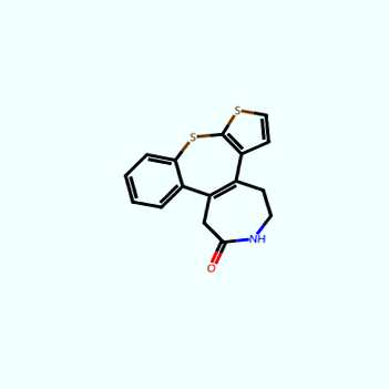 O=C1CC2=C(CCN1)c1ccsc1Sc1ccccc12